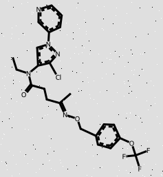 CCN(C(=O)CC/C(C)=N/OCc1ccc(OC(F)(F)F)cc1)c1cn(-c2cccnc2)nc1Cl